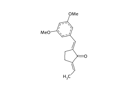 C/C=C1\CC/C(=C\c2cc(OC)cc(OC)c2)C1=O